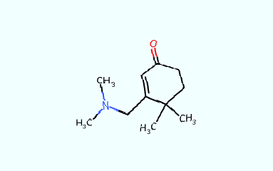 CN(C)CC1=CC(=O)CCC1(C)C